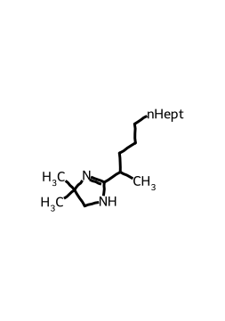 CCCCCCCCCCC(C)C1=NC(C)(C)CN1